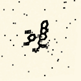 CN(C)C[C@@H]1CCc2nc3ccccc3cc2[C@H]1c1cccc(O)c1.Cl